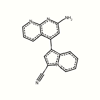 N#Cc1cc(-c2cc(N)nc3ncccc23)c2ccccn12